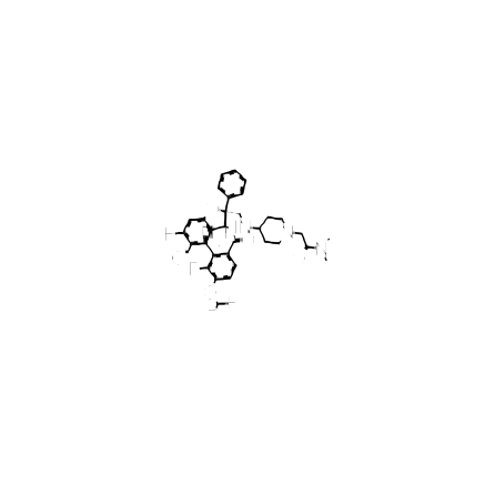 CN(C)C(=O)CN1CCC(NC[C@@]2(c3ccccc3)Cc3c(cc(F)c(Cl)c3-c3c(C(N)=O)ccc(OC(F)F)c3F)O2)CC1